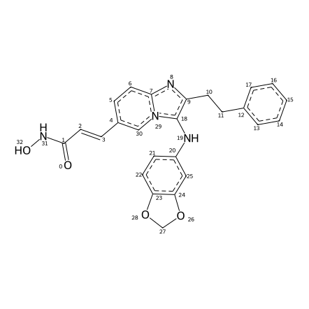 O=C(C=Cc1ccc2nc(CCc3ccccc3)c(Nc3ccc4c(c3)OCO4)n2c1)NO